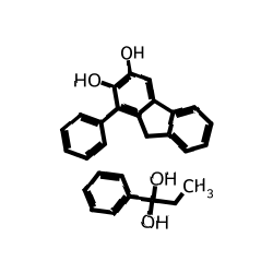 CCC(O)(O)c1ccccc1.Oc1cc2c(c(-c3ccccc3)c1O)Cc1ccccc1-2